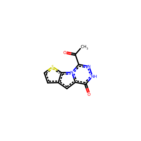 CC(=O)c1n[nH]c(=O)c2cc3ccsc3n12